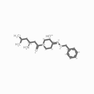 CC(C)C[C@H](N)CC(=O)N1CCC(=NOCc2ccccc2)CC1.Cl